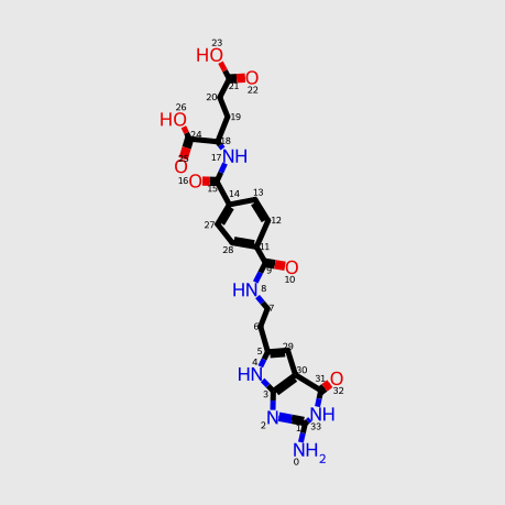 Nc1nc2[nH]c(CCNC(=O)c3ccc(C(=O)NC(CCC(=O)O)C(=O)O)cc3)cc2c(=O)[nH]1